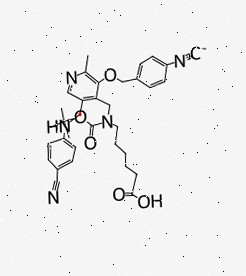 [C-]#[N+]c1ccc(COc2c(C)ncc(CNc3ccc(C#N)cc3)c2CN(CCCCCC(=O)O)C(=O)OC(C)(C)C)cc1